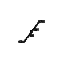 CCCCCCCCCCCCCCCCC(O)CCOCCC(O)CCCCCCCCCCCCCCCC